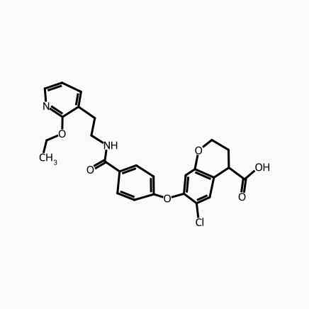 CCOc1ncccc1CCNC(=O)c1ccc(Oc2cc3c(cc2Cl)C(C(=O)O)CCO3)cc1